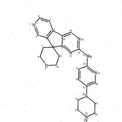 c1cc2c(cn1)C1(CCOCC1)c1nc(Nc3ccc(N4CCNCC4)cn3)ncc1-2